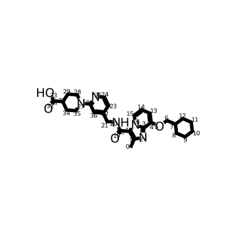 Cc1nc2c(OCC3CCCCC3)cccn2c1C(=O)NCc1ccnc(N2CCC(C(=O)O)CC2)c1